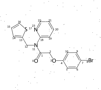 O=C(COc1ccc(Br)cc1)N(Cc1cccs1)c1ccccn1